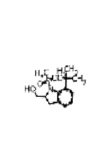 CC(C)(C)c1cccc2c1N(S(C)(=O)=O)C(CO)C2